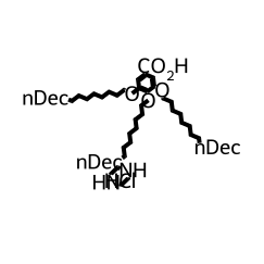 C1CNCCN1.CCCCCCCCCCCCCCCCCCOc1cc(C(=O)O)cc(OCCCCCCCCCCCCCCCCCC)c1OCCCCCCCCCCCCCCCCCC.Cl